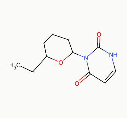 CCC1CCCC(n2c(=O)cc[nH]c2=O)O1